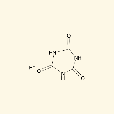 O=c1[nH]c(=O)[nH]c(=O)[nH]1.[H+]